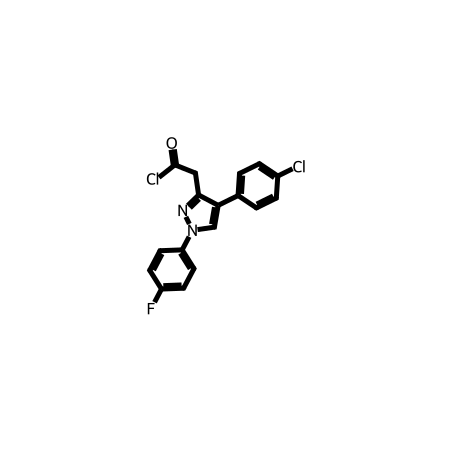 O=C(Cl)Cc1nn(-c2ccc(F)cc2)cc1-c1ccc(Cl)cc1